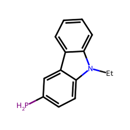 CCn1c2ccccc2c2cc(P)ccc21